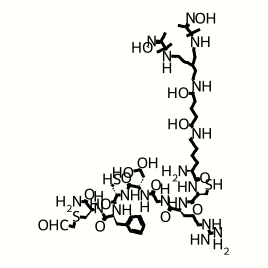 C/C(=N/O)C(C)(C)NCCC(CCNC(O)CCCC(O)NCCCC[C@H](N)C(=O)N[C@@H](CS)C(=O)N[C@@H](CCCNC(=N)N)C(=O)NCC(=O)N[C@@H](CC(O)O)C(=O)N[C@@H](CS)C(O)N[C@@H](Cc1ccccc1)C(=O)N[C@@H](CSCC=O)C(N)=O)CCNC(C)(C)/C(C)=N\O